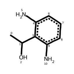 CC(O)c1c(N)cccc1N